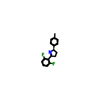 Cc1ccc([C@H]2CCC(c3c(F)cccc3F)=N2)cc1